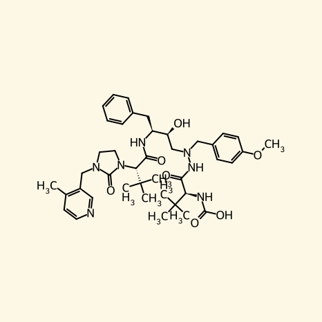 COc1ccc(CN(C[C@H](O)[C@H](Cc2ccccc2)NC(=O)[C@@H](N2CCN(Cc3cnccc3C)C2=O)C(C)(C)C)NC(=O)[C@@H](NC(=O)O)C(C)(C)C)cc1